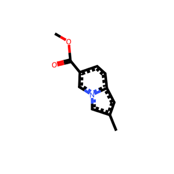 COC(=O)c1ccc2cc(C)cn2c1